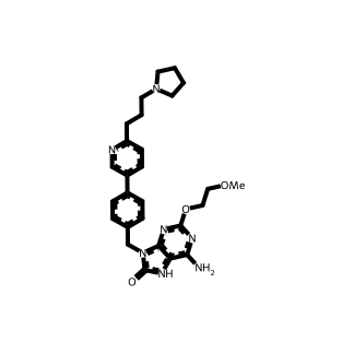 COCCOc1nc(N)c2[nH]c(=O)n(Cc3ccc(-c4ccc(CCCN5CCCC5)nc4)cc3)c2n1